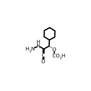 NNC(=C=O)[C@@H](OC(=O)O)C1CCCCC1